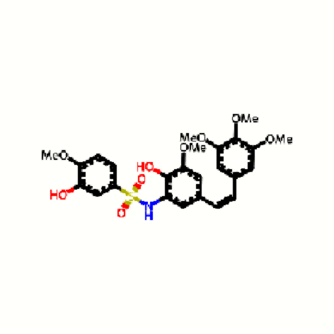 COc1ccc(S(=O)(=O)Nc2cc(/C=C\c3cc(OC)c(OC)c(OC)c3)cc(OC)c2O)cc1O